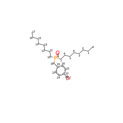 CCCCCCCCP(=O)(CCCCCCCC)Cc1ccc(Br)cc1